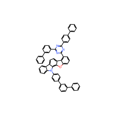 c1ccc(-c2ccc(-c3nc(-c4cccc(-c5ccccc5)c4)nc(-c4cccc5oc6c(ccc7c8ccccc8n(-c8ccc(-c9cccc(-c%10ccccc%10)c9)cc8)c76)c45)n3)cc2)cc1